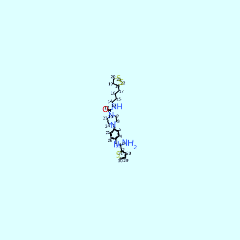 N/C(=N\c1ccc(N2CCN(C(=O)NCCCCC3CCSS3)CC2)cc1)c1cccs1